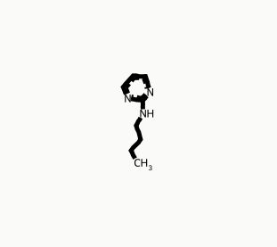 CCCCNc1ncccn1